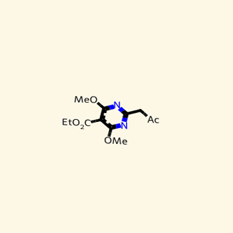 CCOC(=O)c1c(OC)nc(CC(C)=O)nc1OC